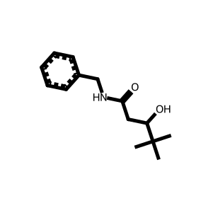 CC(C)(C)C(O)CC(=O)NCc1ccccc1